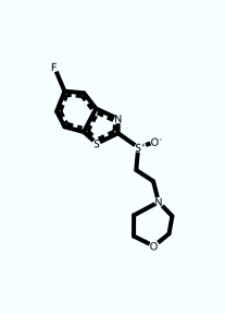 [O-][S+](CCN1CCOCC1)c1nc2cc(F)ccc2s1